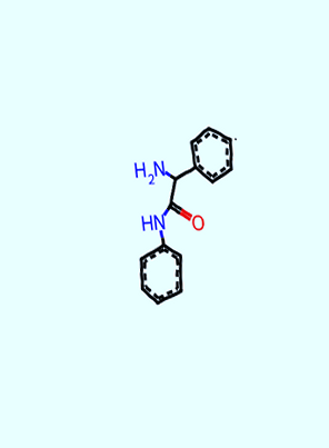 NC(C(=O)Nc1ccccc1)c1cc[c]cc1